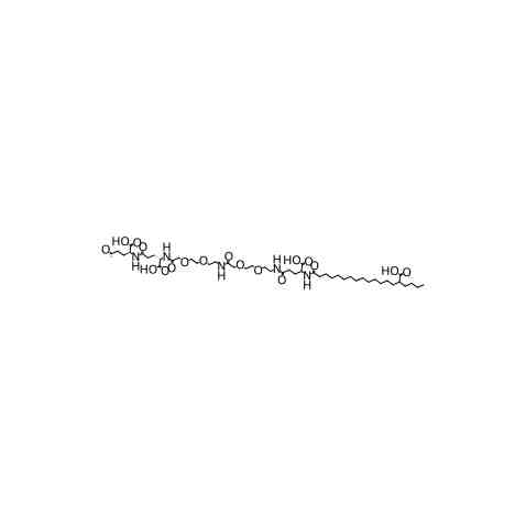 CCCCC(CCCCCCCCCCCCCC(=O)NC(CCC(=O)NCCOCCOCC(=O)NCCOCCOCC(=O)N[C@@H](CCC(=O)N[C@@H](CC[C]=O)C(=O)O)C(=O)O)C(=O)O)C(=O)O